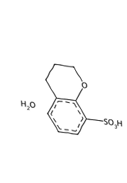 O.O=S(=O)(O)c1cccc2c1OCCC2